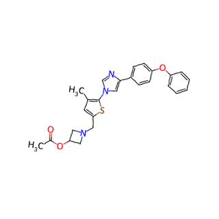 CC(=O)OC1CN(Cc2cc(C)c(-n3cnc(-c4ccc(Oc5ccccc5)cc4)c3)s2)C1